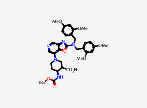 COc1ccc(CN(Cc2ccc(OC)cc2OC)c2nc3cncc(N4CCC(NC(=O)OC(C)(C)C)C(C(=O)O)C4)c3o2)c(OC)c1